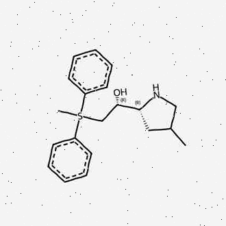 CC1CN[C@@H]([C@@H](O)CS(C)(c2ccccc2)c2ccccc2)C1